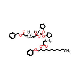 C=CC(=O)OC(C)(OC1=CCCC1)OC1=CCCC1.C=CC(=O)OC(CCCCCCCCC)COc1ccccc1.C=CC(=O)OCc1ccccc1